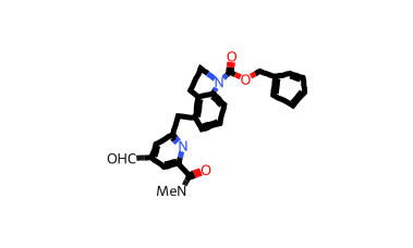 CNC(=O)c1cc(C=O)cc(Cc2cccc3c2CCN3C(=O)OCc2ccccc2)n1